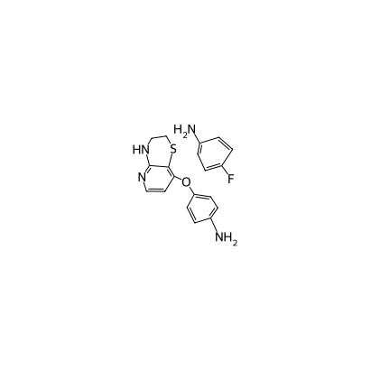 Nc1ccc(F)cc1.Nc1ccc(Oc2ccnc3c2SCCN3)cc1